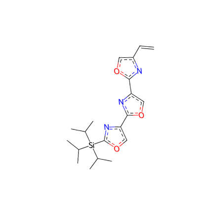 C=Cc1coc(-c2coc(-c3coc([Si](C(C)C)(C(C)C)C(C)C)n3)n2)n1